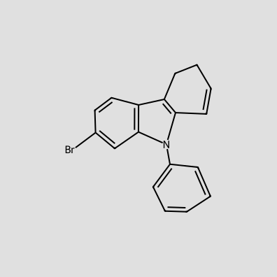 Brc1ccc2c3c(n(-c4ccccc4)c2c1)C=CCC3